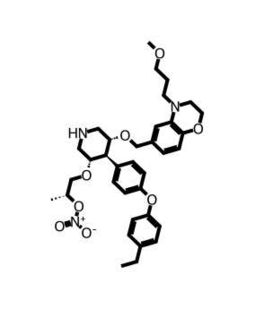 CCc1ccc(Oc2ccc([C@@H]3[C@@H](OCc4ccc5c(c4)N(CCCOC)CCO5)CNC[C@H]3OC[C@@H](C)O[N+](=O)[O-])cc2)cc1